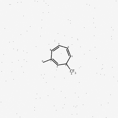 CC1=CC(C(F)(F)F)C=CC=C1